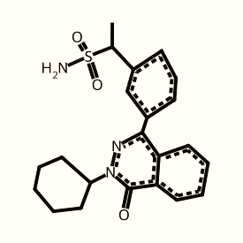 CC(c1cccc(-c2nn(C3CCCCC3)c(=O)c3ccccc23)c1)S(N)(=O)=O